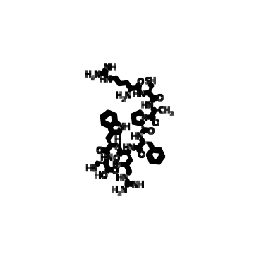 C[C@@H](NC(=O)[C@H](CS)NC(=O)[C@@H](N)CCCNC(=N)N)C(=O)N1CCC[C@H]1C(=O)N[C@H](Cc1ccccc1)C(=O)N[C@@H](CC(Br)CNC(=N)N)C(=O)N[C@H](Cc1c[nH]c2ccccc12)C(=O)N[C@@H](CS)C(=O)O